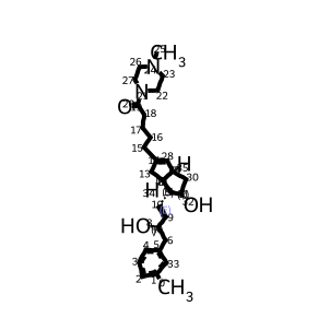 Cc1cccc(C[C@@H](O)/C=C/[C@@H]2[C@H]3CC(CCCCC(=O)N4CCN(C)CC4)=C[C@H]3C[C@H]2O)c1